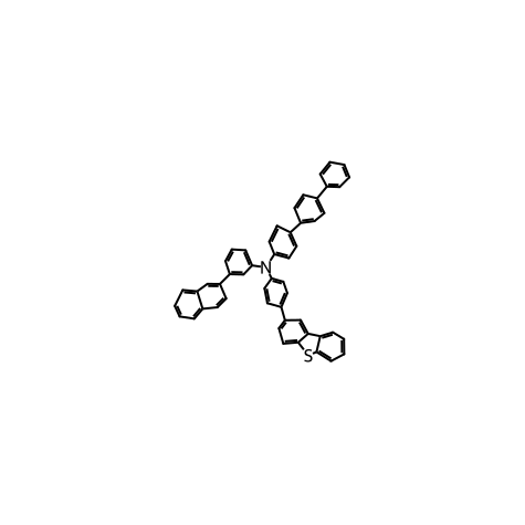 c1ccc(-c2ccc(-c3ccc(N(c4ccc(-c5ccc6sc7ccccc7c6c5)cc4)c4cccc(-c5ccc6ccccc6c5)c4)cc3)cc2)cc1